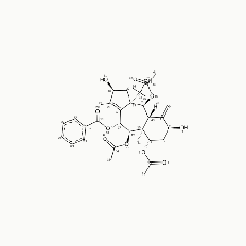 C=C1[C@@H](O)C[C@H](OC(C)=O)[C@@]2(C)[C@@H](OC(C)=O)[C@H](OC(=O)c3ccccc3)C3=C(C)[C@@H](O)C[C@@]3(C(C)(C)O)[C@@H](OC(C)=O)[C@H]12